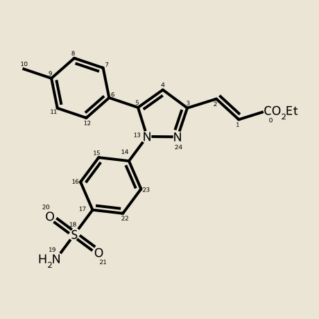 CCOC(=O)C=Cc1cc(-c2ccc(C)cc2)n(-c2ccc(S(N)(=O)=O)cc2)n1